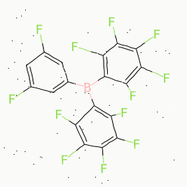 Fc1cc(F)cc(B(c2c(F)c(F)c(F)c(F)c2F)c2c(F)c(F)c(F)c(F)c2F)c1